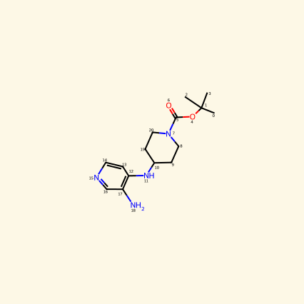 CC(C)(C)OC(=O)N1CCC(Nc2ccncc2N)CC1